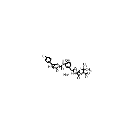 CC1(C)S[C@@H]2[C@H](NC(=O)Cc3ccc(O)c(NC(=O)N4CC5C(c6ccc(Cl)cc6)NN5C4=O)c3)C(=O)N2[C@H]1C(=O)[O-].[Na+]